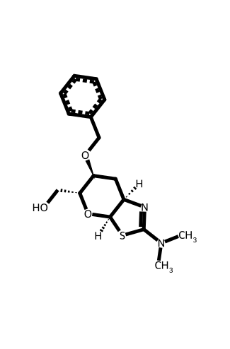 CN(C)C1=N[C@@H]2C[C@H](OCc3ccccc3)[C@@H](CO)O[C@@H]2S1